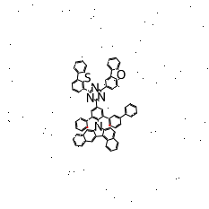 c1ccc(-c2cccc(-c3cc(-c4nc(-c5ccc6oc7ccccc7c6c5)nc(-c5cccc6c5sc5ccccc56)n4)cc(-c4ccccc4)c3-n3c4cc5ccccc5cc4c4c5ccccc5ccc43)c2)cc1